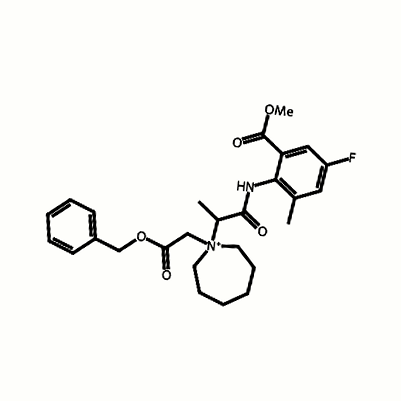 COC(=O)c1cc(F)cc(C)c1NC(=O)C(C)[N+]1(CC(=O)OCc2ccccc2)CCCCCC1